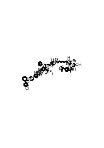 Cc1ncsc1-c1ccc([C@H](C)NC(=O)[C@@H]2C[C@@H](O)CN2C(=O)[C@@H](NC(=O)CCCCCCC(=O)N2C[C@@H]3C[C@H]2CN3CC[C@H](CSc2ccccc2)Nc2ccc(S(=O)(=O)NC(=O)c3ccc(N4CCN(CC5=C(c6ccc(Cl)cc6F)CCCCC5)CC4)cc3)cc2S(=O)(=O)C(F)(F)F)C(C)(C)C)cc1